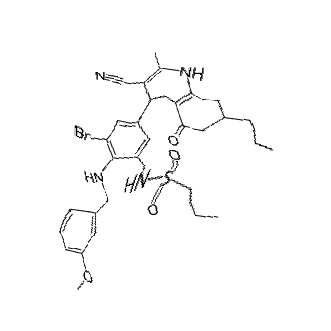 CCCC1CC(=O)C2=C(C1)NC(C)=C(C#N)C2c1cc(Br)c(NCc2cccc(OC)c2)c(NS(=O)(=O)CCC)c1